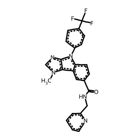 Cn1cnc2c1c1cc(C(=O)NCc3ccccn3)ccc1n2-c1ccc(C(F)(F)F)cc1